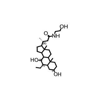 CC[C@@H]1C2C[C@H](O)CCC2(C)C2CCC3(C)C(CCC3[C@H](C)CC(=O)NCCO)C2[C@@H]1O